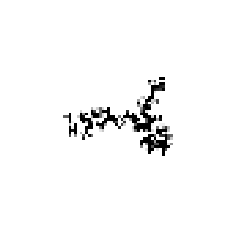 C[Si](C)(C)CCOCn1cc(S(=O)(=O)C(F)(F)F)cc1OCCF